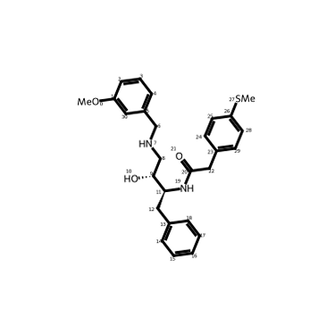 COc1cccc(CNC[C@@H](O)[C@H](Cc2ccccc2)NC(=O)Cc2ccc(SC)cc2)c1